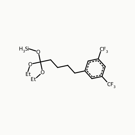 CCOC(CCCCc1cc(C(F)(F)F)cc(C(F)(F)F)c1)(O[SiH3])OCC